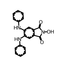 O=C1c2cc(Nc3ccccc3)c(Nc3ccccc3)cc2C(=O)N1O